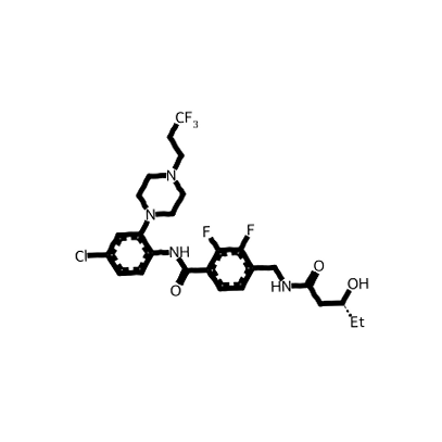 CC[C@@H](O)CC(=O)NCc1ccc(C(=O)Nc2ccc(Cl)cc2N2CCN(CCC(F)(F)F)CC2)c(F)c1F